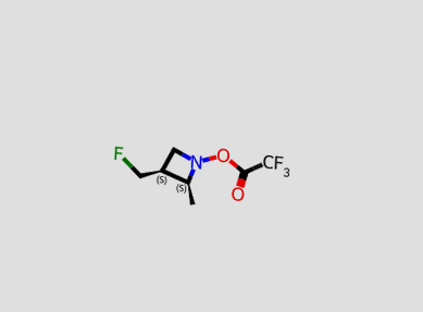 C[C@H]1[C@@H](CF)CN1OC(=O)C(F)(F)F